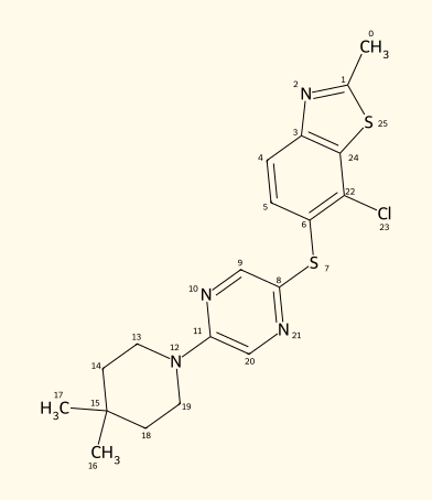 Cc1nc2ccc(Sc3cnc(N4CCC(C)(C)CC4)cn3)c(Cl)c2s1